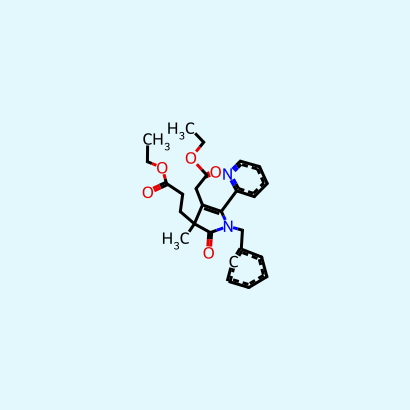 CCOC(=O)CCC1(C)C(=O)N(Cc2ccccc2)C(c2ccccn2)=C1CC(=O)OCC